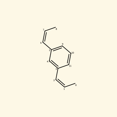 C/C=C\c1[c]c(/C=C\C)ccc1